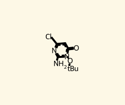 CC(C)(C)On1c(N)nc(Cl)cc1=O